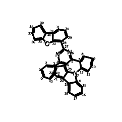 c1ccc(-c2cc(-c3ccccc3-n3c4ccccc4c4ccccc43)nc(-c3cccc4c3oc3ccccc34)n2)cc1